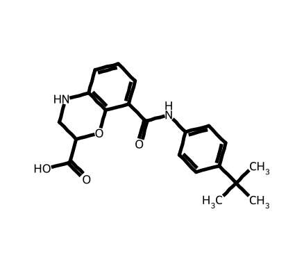 CC(C)(C)c1ccc(NC(=O)c2cccc3c2OC(C(=O)O)CN3)cc1